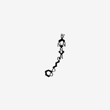 Brc1cnc(N2CC(=NOCCCCOC3CCCCO3)C2)nc1